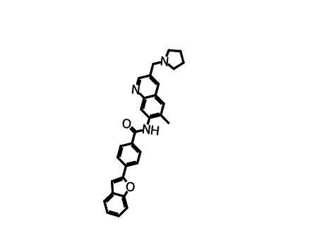 Cc1cc2cc(CN3CCCC3)cnc2cc1NC(=O)c1ccc(-c2cc3ccccc3o2)cc1